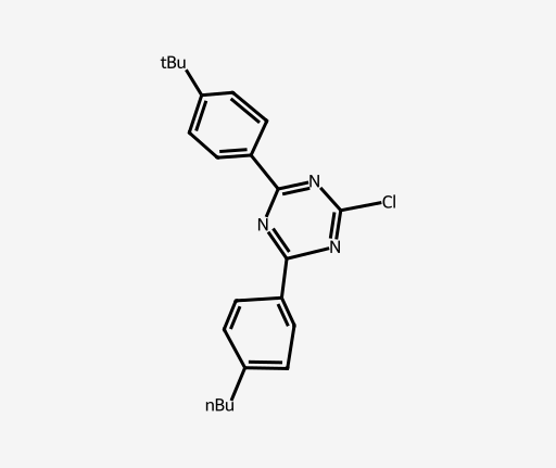 CCCCc1ccc(-c2nc(Cl)nc(-c3ccc(C(C)(C)C)cc3)n2)cc1